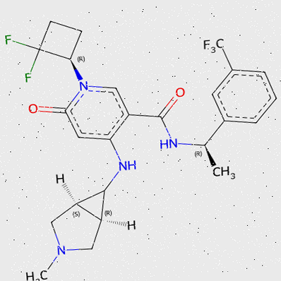 C[C@@H](NC(=O)c1cn([C@@H]2CCC2(F)F)c(=O)cc1NC1[C@H]2CN(C)C[C@@H]12)c1cccc(C(F)(F)F)c1